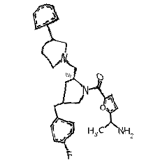 CC(N)c1ccc(C(=O)N2CC(Cc3ccc(F)cc3)C[C@H]2CN2CCC(c3ccccc3)C2)o1